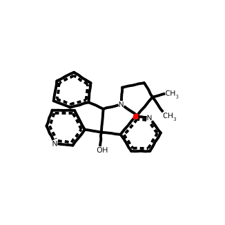 CC1(C)CCN(C(c2ccccc2)C(O)(c2cccnc2)c2cccnc2)C1